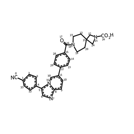 N#Cc1ccc(-c2cnc3ccc(-c4ccc(C(=O)N5CCC6(CC5)CN(C(=O)O)C6)cc4)cn23)cc1